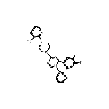 Fc1ccc(C2C=C(N3CCN(c4ncccc4C(F)(F)F)CC3)N=CN2c2cccnc2)cc1Cl